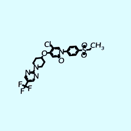 CCS(=O)(=O)c1ccc(-n2cc(Cl)c(OC3CCN(c4ncc(C(F)(F)F)cn4)CC3)cc2=O)cc1